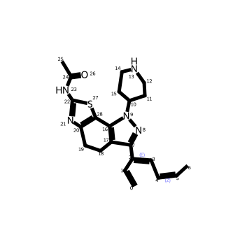 C=C/C(=C\C=C/C)c1nn(C2CCNCC2)c2c1CCc1nc(NC(C)=O)sc1-2